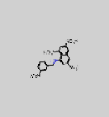 CNc1cccc(CNc2cc(S(=O)(=O)O)cc3cc(S(=O)(=O)O)cc(S(=O)(=O)O)c23)c1